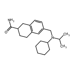 CC(C)N(Cc1ccc2c(c1)CCC(C(N)=O)C2)C1CCCCC1